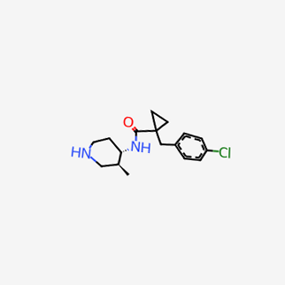 C[C@H]1CNCC[C@@H]1NC(=O)C1(Cc2ccc(Cl)cc2)CC1